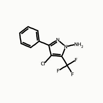 Nn1nc(-c2ccccc2)c(Cl)c1C(F)(F)F